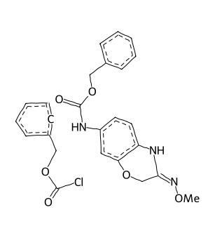 CON=C1COc2cc(NC(=O)OCc3ccccc3)ccc2N1.O=C(Cl)OCc1ccccc1